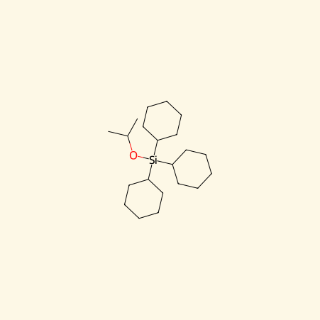 CC(C)O[Si](C1CCCCC1)(C1CCCCC1)C1CCCCC1